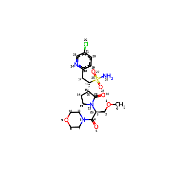 COC[C@@H](C(=O)N1CCOCC1)N1CC[C@H](C(Cc2ccc(Cl)cn2)S(N)(=O)=O)C1=O